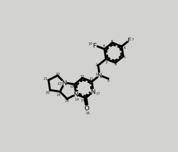 CN(Cc1ccc(F)cc1F)c1cc2n(c(=O)n1)CC1CCCN21